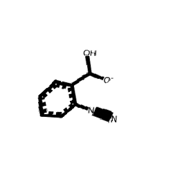 N#[N+]c1ccccc1C([O-])O